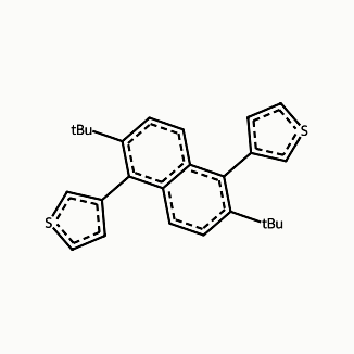 CC(C)(C)c1ccc2c(-c3ccsc3)c(C(C)(C)C)ccc2c1-c1ccsc1